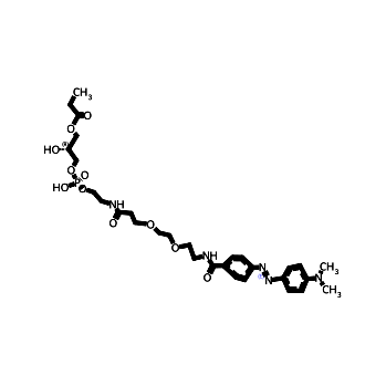 CCC(=O)OC[C@@H](O)COP(=O)(O)OCCNC(=O)CCOCCOCCNC(=O)c1ccc(/N=N/c2ccc(N(C)C)cc2)cc1